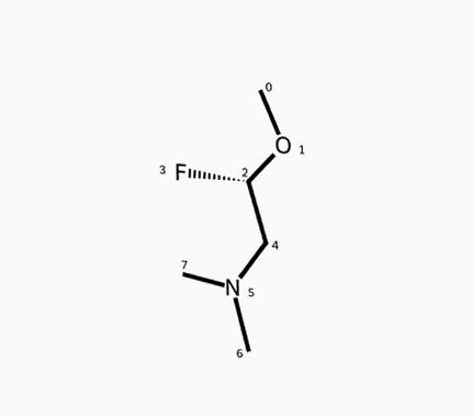 CO[C@@H](F)CN(C)C